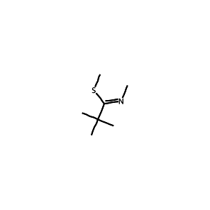 C/N=C(\SC)C(C)(C)C